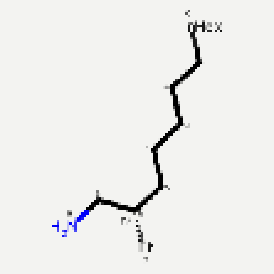 CCCCCCCCCCC[C@H](CC)CN